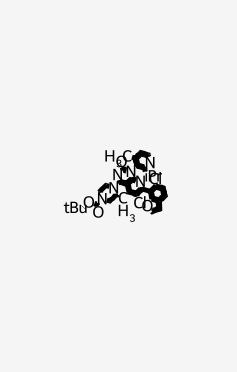 Cc1ccnc(C(C)C)c1-n1c(=O)nc(N2CCN(C(=O)OC(C)(C)C)C[C@@H]2C)c2cc(Cl)c(-c3c(Cl)ccc4ccoc34)nc21